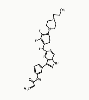 C=CC(=O)Nc1cccc(-c2n[nH]c3cnc(Nc4ccc(N5CCN(CCO)CC5)c(F)c4F)nc23)c1